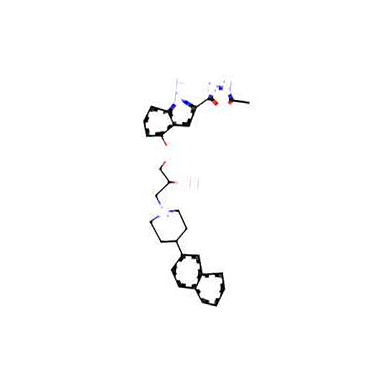 Cc1nnc(-c2cc3c(OCC(O)CN4CCC(c5ccc6ccccc6c5)CC4)cccc3[nH]2)o1